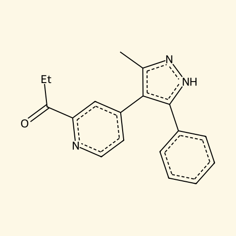 CCC(=O)c1cc(-c2c(C)n[nH]c2-c2ccccc2)ccn1